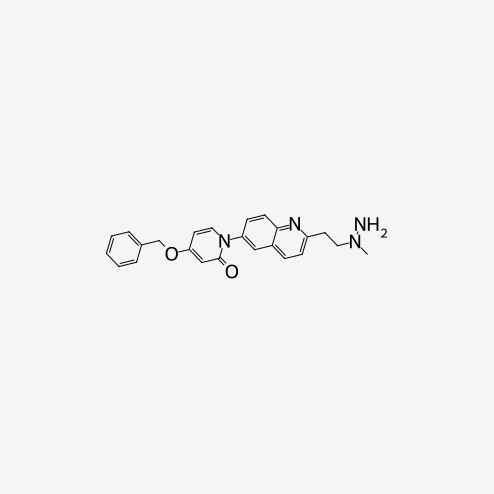 CN(N)CCc1ccc2cc(-n3ccc(OCc4ccccc4)cc3=O)ccc2n1